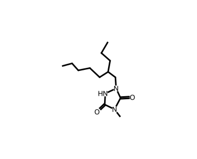 CCCCCC(CCC)Cn1[nH]c(=O)n(C)c1=O